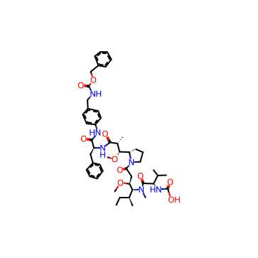 CC[C@H](C)[C@@H]([C@H](CC(=O)N1CCC[C@H]1[C@H](OC)[C@@H](C)C(=O)N[C@@H](Cc1ccccc1)C(=O)Nc1ccc(CNC(=O)OCc2ccccc2)cc1)OC)N(C)C(=O)[C@@H](NC(=O)O)C(C)C